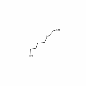 [NH]CC[N]CCCCO